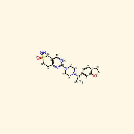 CC(c1ccc2c(c1)OCC2)N1CCN(c2ncc3c(n2)CCS(=N)(=O)C3)CC1